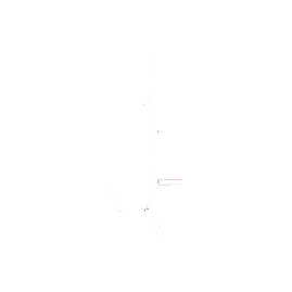 C=C(C=S)C(=O)OCCSC